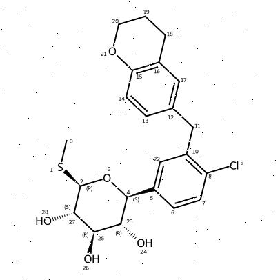 CS[C@H]1O[C@@H](c2ccc(Cl)c(Cc3ccc4c(c3)CCCO4)c2)[C@H](O)[C@@H](O)[C@@H]1O